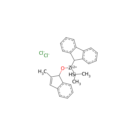 CC1=Cc2ccccc2C1[O][Zr+2]([CH]1c2ccccc2-c2ccccc21)[SiH](C)C.[Cl-].[Cl-]